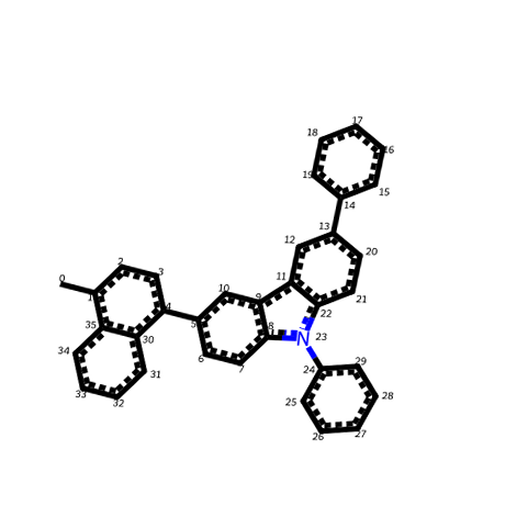 Cc1ccc(-c2ccc3c(c2)c2cc(-c4ccccc4)ccc2n3-c2ccccc2)c2ccccc12